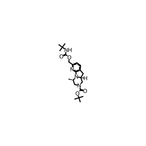 C[C@@H]1CN(C(=O)OC(C)(C)C)C[C@H]2Cc3ccc(COC(=O)NC(C)(C)C)nc3N21